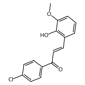 COc1cccc(/C=C/C(=O)c2ccc(Cl)cc2)c1O